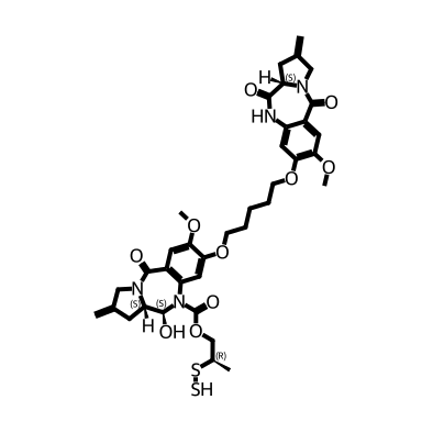 C=C1C[C@H]2C(=O)Nc3cc(OCCCCCOc4cc5c(cc4OC)C(=O)N4CC(=C)C[C@H]4[C@H](O)N5C(=O)OC[C@@H](C)SS)c(OC)cc3C(=O)N2C1